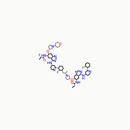 C=CC(=O)Nc1cc2c(Nc3ccnc(-c4ccccc4F)c3)ncnc2cc1O[C@@H]1CCN(C(C)Cc2cccc(-c3cc(Nc4ncnc5cc(O[C@@H]6CCN(C7CCOCC7)C6)c(NC(=O)C(=C)F)cc45)ccn3)c2F)C1